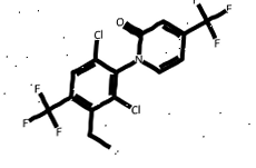 CCc1c(C(F)(F)F)cc(Cl)c(-n2ccc(C(F)(F)F)cc2=O)c1Cl